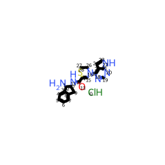 Cl.N[C@@H]1c2ccccc2C[C@@H]1NC(=O)C1=CN(c2ncnc3[nH]ccc23)CCS1